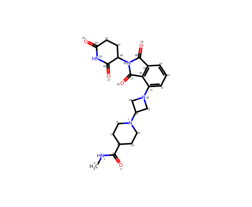 CNC(=O)C1CCN(C2CN(c3cccc4c3C(=O)N(C3CCC(=O)NC3=O)C4=O)C2)CC1